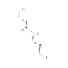 C/C=C/CNC(=O)COCCCC